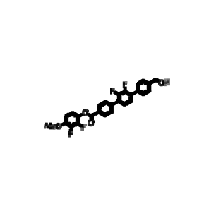 COc1ccc(OC(=O)c2ccc(-c3ccc(-c4ccc(CO)cc4)c(F)c3F)cc2)c(F)c1F